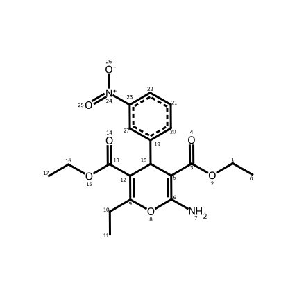 CCOC(=O)C1=C(N)OC(CC)=C(C(=O)OCC)C1c1cccc([N+](=O)[O-])c1